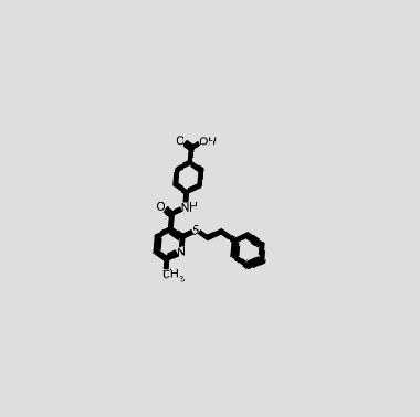 Cc1ccc(C(=O)NC2CCC(C(=O)O)CC2)c(SCCc2ccccc2)n1